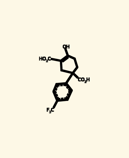 O=C(O)C1=C(O)CCC(C(=O)O)(c2ccc(C(F)(F)F)cc2)C1